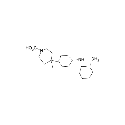 CC1(N2CCC(N[C@H]3CCCC[C@H]3N)CC2)CCN(C(=O)O)CC1